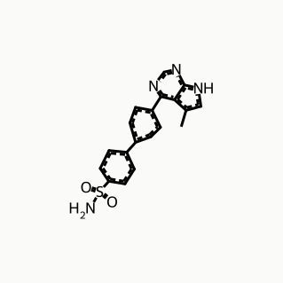 Cc1c[nH]c2ncnc(-c3ccc(-c4ccc(S(N)(=O)=O)cc4)cc3)c12